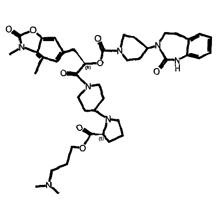 Cc1cc(C[C@@H](OC(=O)N2CCC(N3CCc4ccccc4NC3=O)CC2)C(=O)N2CCC(N3CCC[C@H]3C(=O)OCCCN(C)C)CC2)cc2oc(=O)n(C)c12